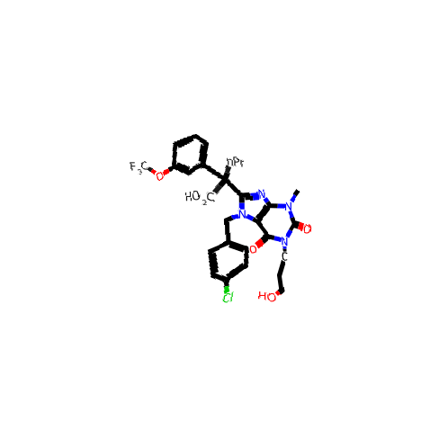 CCCC(C(=O)O)(c1cccc(OC(F)(F)F)c1)c1nc2c(c(=O)n(CCCO)c(=O)n2C)n1Cc1ccc(Cl)cc1